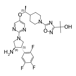 C[C@H](Oc1cnc(N2C[C@H](c3cc(F)c(F)cc3F)[C@@H](N)C2)nc1)C1CCN(c2nc(C(C)(C)O)no2)CC1